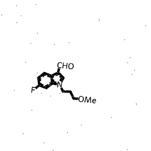 COCCCn1cc(C=O)c2ccc(F)cc21